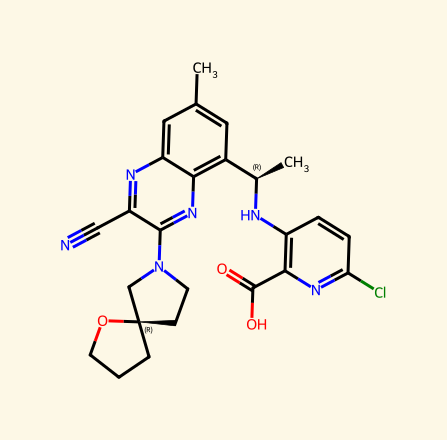 Cc1cc([C@@H](C)Nc2ccc(Cl)nc2C(=O)O)c2nc(N3CC[C@]4(CCCO4)C3)c(C#N)nc2c1